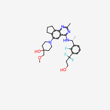 COCC1(O)CCN(c2cc3c(N[C@H](C)c4cccc(C(F)(F)CCO)c4F)nc(C)nc3c3c2CCC3)CC1